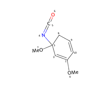 COC1=CC(N=C=O)(OC)CC=C1